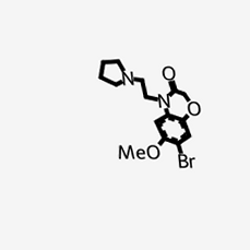 COc1cc2c(cc1Br)OCC(=O)N2CCN1CCCC1